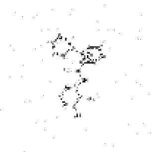 O=C(Nc1cccc(Cl)c1F)c1c(-c2ccncc2)c2ccc1o2